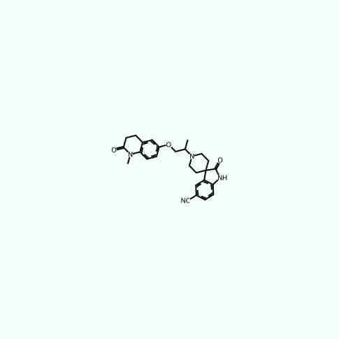 CC(COc1ccc2c(c1)CCC(=O)N2C)N1CCC2(CC1)C(=O)Nc1ccc(C#N)cc12